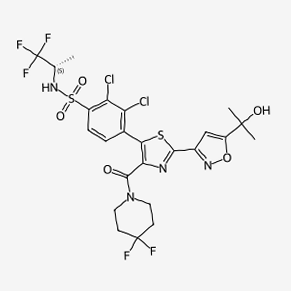 C[C@H](NS(=O)(=O)c1ccc(-c2sc(-c3cc(C(C)(C)O)on3)nc2C(=O)N2CCC(F)(F)CC2)c(Cl)c1Cl)C(F)(F)F